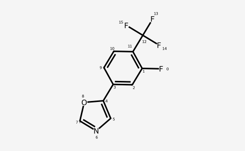 Fc1cc(-c2cn[c]o2)ccc1C(F)(F)F